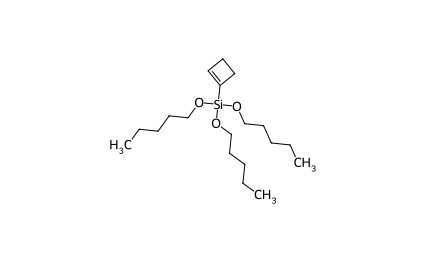 CCCCCO[Si](OCCCCC)(OCCCCC)C1=CCC1